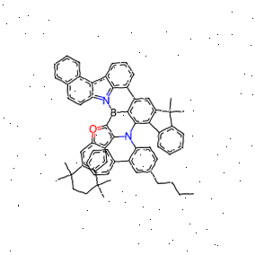 CCCCc1ccc(N2c3c4c(cc5c3-c3ccccc3C5(C)C)-c3cccc5c6c7ccccc7ccc6n(c35)B4c3oc4cc5c(cc4c32)C(C)(C)CCC5(C)C)c(-c2ccccc2)c1